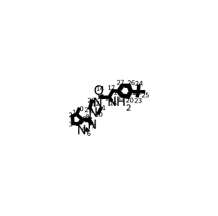 CC1CCc2ncnc(N3CCN(C(=O)C(N)Cc4ccc(C(C)(C)C)cc4)CC3)c21